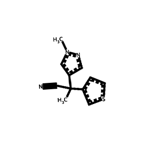 Cn1cc(C(C)(C#N)c2ccsc2)cn1